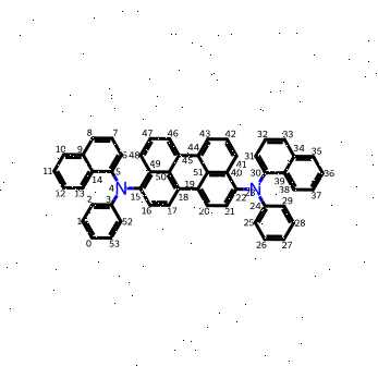 c1ccc(N(c2cccc3ccccc23)c2ccc3c4ccc(N(c5ccccc5)c5cccc6ccccc56)c5cccc(c6cccc2c63)c54)cc1